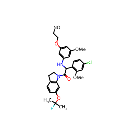 COc1cc(NC(C(=O)N2CCc3ccc(OC(C)(C)F)cc32)c2ccc(Cl)cc2OC)cc(OCCN=O)c1